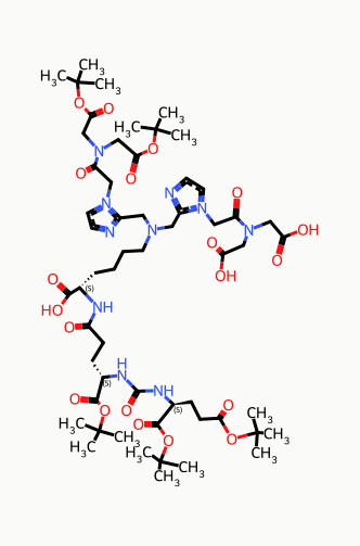 CC(C)(C)OC(=O)CC[C@H](NC(=O)N[C@@H](CCC(=O)N[C@@H](CCCCN(Cc1nccn1CC(=O)N(CC(=O)O)CC(=O)O)Cc1nccn1CC(=O)N(CC(=O)OC(C)(C)C)CC(=O)OC(C)(C)C)C(=O)O)C(=O)OC(C)(C)C)C(=O)OC(C)(C)C